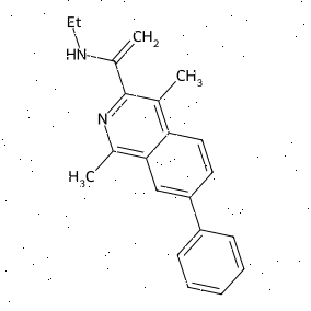 C=C(NCC)c1nc(C)c2cc(-c3ccccc3)ccc2c1C